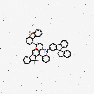 CC1(C)c2ccccc2-c2cccc(-c3ccccc3N(c3ccc(-c4cccc5sc6ccccc6c45)cc3)c3ccc4c(c3)C3(CCc5ccccc53)c3ccccc3-4)c21